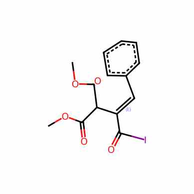 COC(=O)C(C(=O)OC)/C(=C\c1ccccc1)C(=O)I